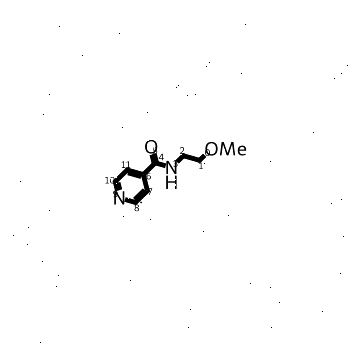 COCCNC(=O)c1c[c]ncc1